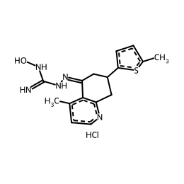 Cc1ccc(C2C/C(=N/NC(=N)NO)c3c(C)ccnc3C2)s1.Cl